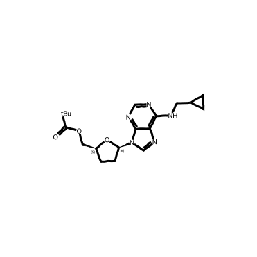 CC(C)(C)C(=O)OC[C@@H]1CC[C@H](n2cnc3c(NCC4CC4)ncnc32)O1